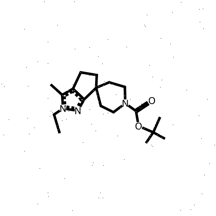 CCn1nc2c(c1C)CCC21CCN(C(=O)OC(C)(C)C)CC1